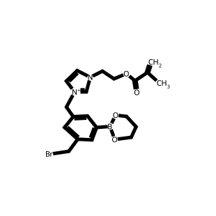 C=C(C)C(=O)OCCn1cc[n+](Cc2cc(CBr)cc(B3OCCCO3)c2)c1